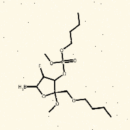 BC1O[C@@](COCCCC)(OC)C(OP(=O)(OC)OCCCC)C1F